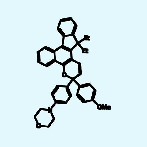 CCC1(CC)c2ccccc2-c2c1c1c(c3ccccc23)OC(c2ccc(OC)cc2)(c2ccc(N3CCOCC3)cc2)C=C1